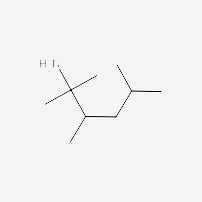 CC(C)CC(C)C(C)(C)N